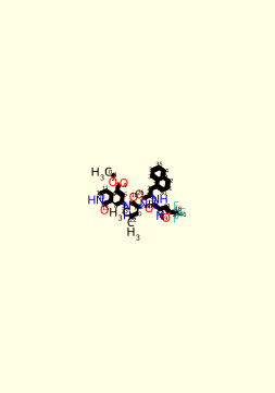 CCOC(=O)/C=C/C(C[C@@H]1CCCNC1=O)NC(=O)[C@H](CC(C)C)NC(=O)C(Cc1cccc2ccccc12)NC(=O)c1cc(C(F)(F)F)on1